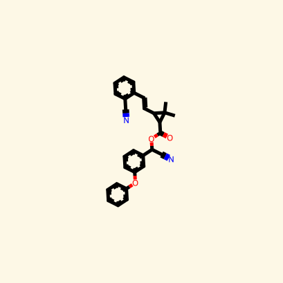 CC1(C)C(/C=C/c2ccccc2C#N)C1C(=O)OC(C#N)c1cccc(Oc2ccccc2)c1